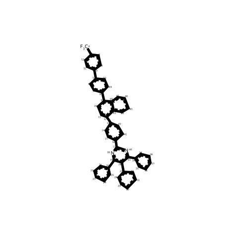 FC(F)(F)c1ccc(-c2ccc(-c3ccc(-c4ccc(-c5nc(-c6ccccc6)c(-c6ccccc6)c(-c6ccccc6)n5)cc4)c4ccccc34)cc2)cc1